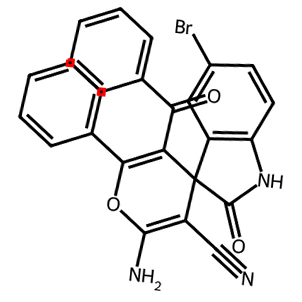 N#CC1=C(N)OC(c2ccccc2)=C(C(=O)c2ccccc2)C12C(=O)Nc1ccc(Br)cc12